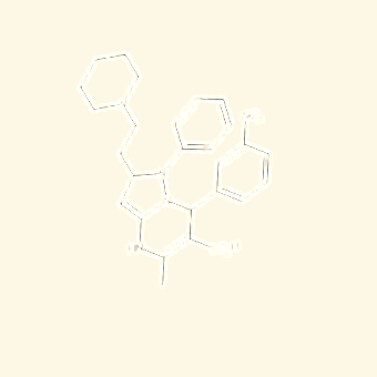 CC1=C(C(=O)O)C(c2cccc([N+](=O)[O-])c2)N2C(=CC(CCN3CCCCC3)N2c2ccccc2)N1